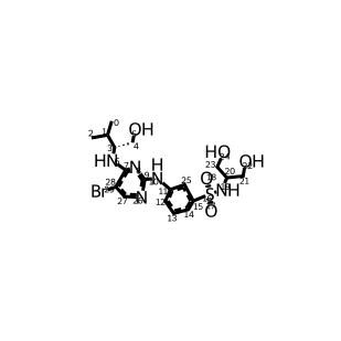 CC(C)[C@H](CO)Nc1nc(Nc2cccc(S(=O)(=O)NC(CO)CO)c2)ncc1Br